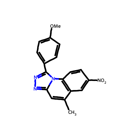 COc1ccc(-c2nnc3cc(C)c4cc([N+](=O)[O-])ccc4n23)cc1